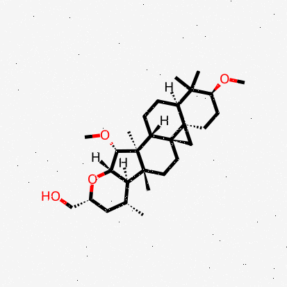 CO[C@H]1CC[C@]23C[C@]24CC[C@]2(C)[C@@H]5[C@H](O[C@@H](CO)C[C@H]5C)[C@H](OC)[C@@]2(C)[C@@H]4CC[C@H]3C1(C)C